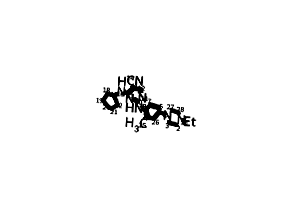 CCN1CCN(c2ccc(Nc3ncc(C#N)c(NC4CCCCC4)n3)c(C)c2)CC1